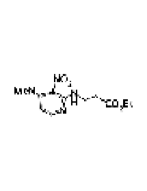 CCOC(=O)CCNc1nccc(NC)c1[N+](=O)[O-]